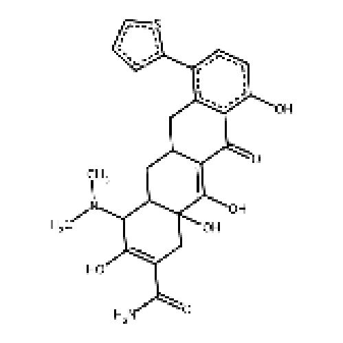 CN(C)C1C(O)=C(C(N)=O)CC2(O)C(O)=C3C(=O)c4c(O)ccc(-c5cccs5)c4CC3CC12